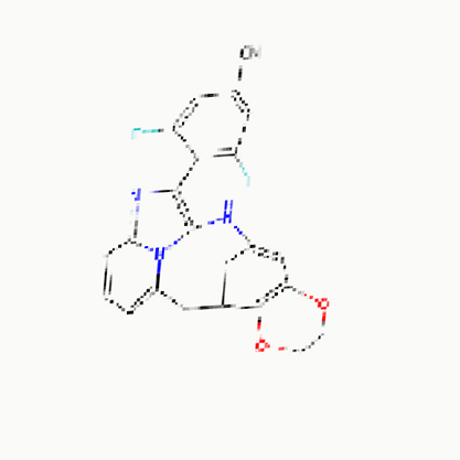 N#Cc1cc(F)c(-c2nc3cccc4n3c2NC2=CC3=C(OCCO3)C(C2)C4)c(F)c1